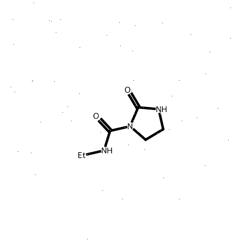 CCNC(=O)N1CCNC1=O